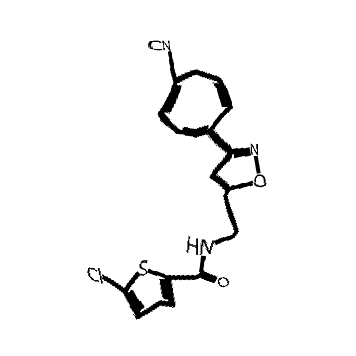 [C-]#[N+]c1ccc(C2=NOC(CNC(=O)c3ccc(Cl)s3)C2)cc1